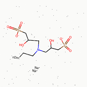 CCCCCCCCCCCCN(CC(O)CS(=O)(=O)[O-])CC(O)CS(=O)(=O)[O-].[Na+].[Na+]